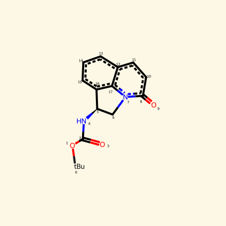 CC(C)(C)OC(=O)N[C@@H]1Cn2c(=O)ccc3cccc1c32